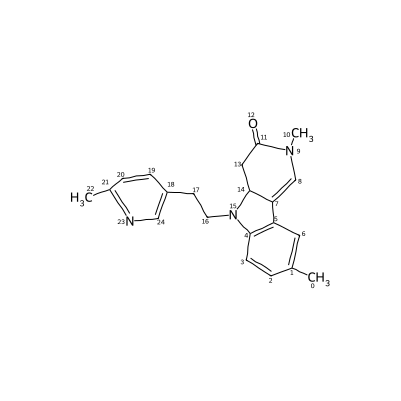 Cc1ccc2c(c1)C1=CN(C)C(=O)CC1N2CCc1ccc(C)nc1